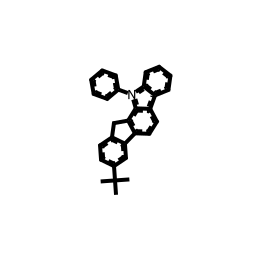 CC(C)(C)c1ccc2c(c1)-c1ccc3c4ccccc4n(-c4ccccc4)c3c1C2